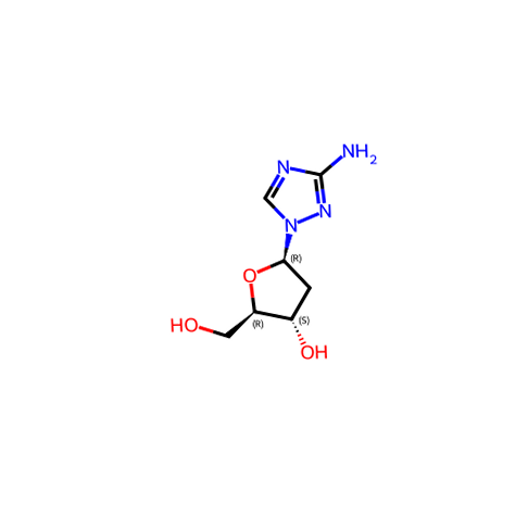 Nc1ncn([C@H]2C[C@H](O)[C@@H](CO)O2)n1